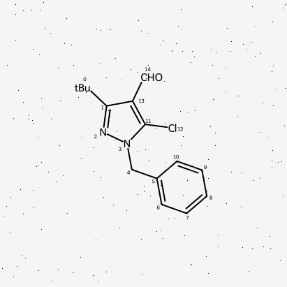 CC(C)(C)c1nn(Cc2ccccc2)c(Cl)c1C=O